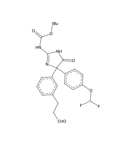 CC(C)(C)OC(=O)NC1=NC(c2ccc(OC(F)F)cc2)(c2cccc(CCC=O)c2)C(=O)N1